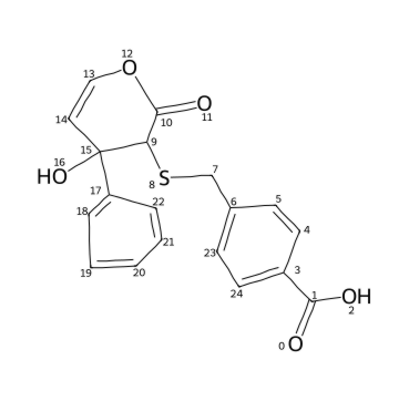 O=C(O)c1ccc(CSC2C(=O)OC=CC2(O)c2ccccc2)cc1